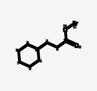 O=C(CCC1CCCCC1)OBr